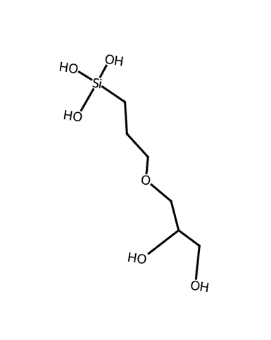 OCC(O)COCCC[Si](O)(O)O